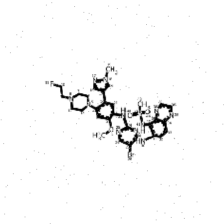 COc1cc(N2CCN(CCF)CC2)c(-c2cnn(C)c2)cc1Nc1ncc(Br)c(Nc2ccc3nccnc3c2NS(C)(=O)=O)n1